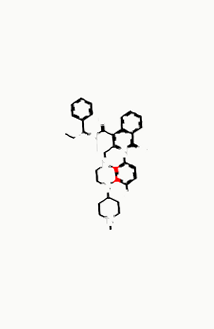 CC[C@H](NC(=O)c1c(CN2CCN(C3CCN(C)CC3)CC2)n(-c2ccc(Cl)cc2)c(=O)c2ccccc12)c1ccccc1